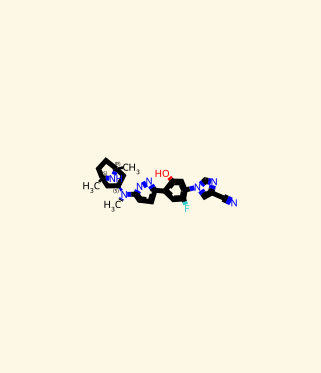 CN(c1ccc(-c2cc(F)c(-n3cnc(C#N)c3)cc2O)nn1)[C@H]1C[C@]2(C)CC[C@](C)(C1)N2